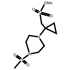 COS(=O)(=O)CC1(N2CCN(S(C)(=O)=O)CC2)CC1